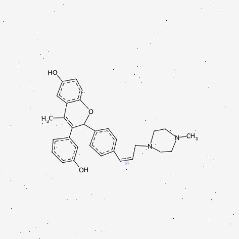 CC1=C(c2cccc(O)c2)C(c2ccc(/C=C\CN3CCN(C)CC3)cc2)Oc2ccc(O)cc21